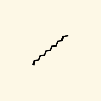 [CH]=CCCCCCC=CCC=CC